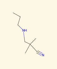 CCCNCC(C)(C)C#N